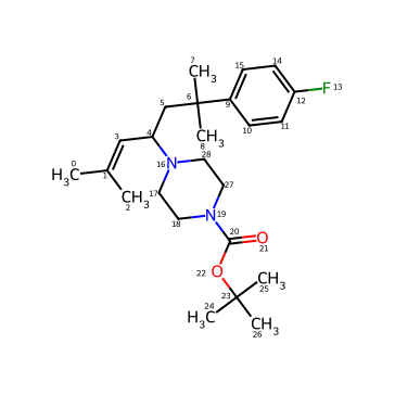 CC(C)=CC(CC(C)(C)c1ccc(F)cc1)N1CCN(C(=O)OC(C)(C)C)CC1